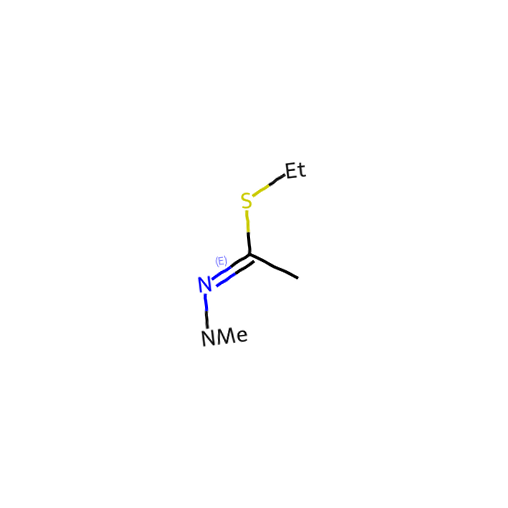 CCS/C(C)=N/NC